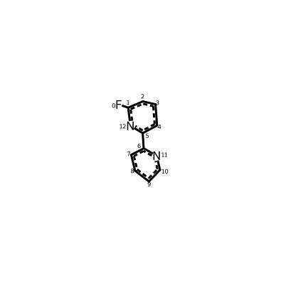 Fc1cccc(-c2ccccn2)n1